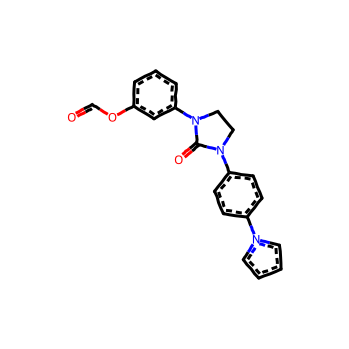 O=COc1cccc(N2CCN(c3ccc(-n4cccc4)cc3)C2=O)c1